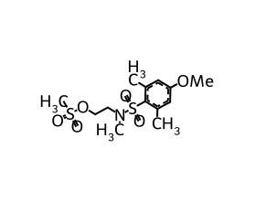 COc1cc(C)c(S(=O)(=O)N(C)CCOS(C)(=O)=O)c(C)c1